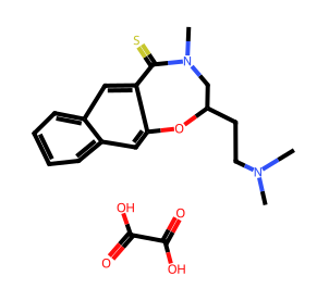 CN(C)CCC1CN(C)C(=S)c2cc3ccccc3cc2O1.O=C(O)C(=O)O